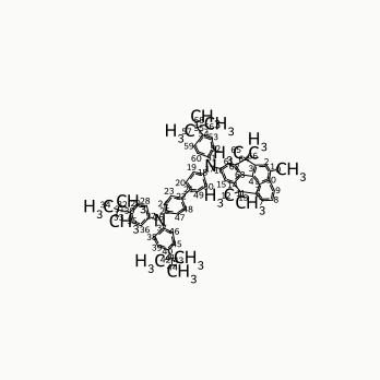 Cc1cc2c3c4c(cccc14)C(C)(C)c1cc(N(c4ccc(-c5ccc(N(c6ccc(C(C)(C)C)cc6)c6ccc(C(C)(C)C)cc6)cc5)cc4)c4ccc(C(C)(C)C)cc4)cc(c1-3)C2(C)C